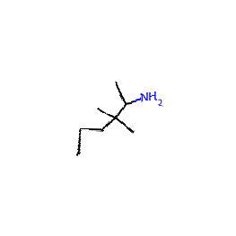 CCCC(C)(C)C(C)N